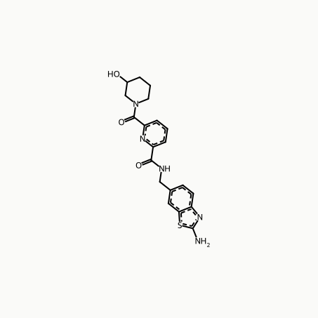 Nc1nc2ccc(CNC(=O)c3cccc(C(=O)N4CCCC(O)C4)n3)cc2s1